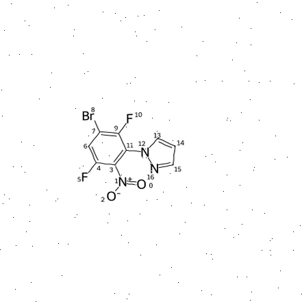 O=[N+]([O-])c1c(F)cc(Br)c(F)c1-n1cccn1